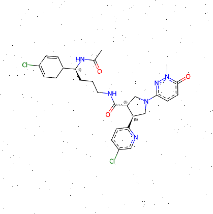 CC(=O)N[C@@H](CCCNC(=O)[C@@H]1CN(c2ccc(=O)n(C)n2)C[C@H]1c1ccc(Cl)cn1)C1C=CC(Cl)=CC1